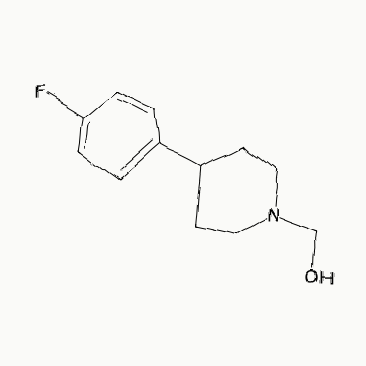 OCN1CCC(c2ccc(F)cc2)CC1